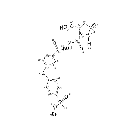 CCOP(C)(=O)c1ccc(Oc2ccc(C(=O)NCC(=O)N3[C@H]4C[C@@]4(C)C[C@H]3C(=O)O)cc2)cc1